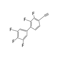 C#Cc1ccc(-c2cc(F)c(F)c(F)c2)c(F)c1F